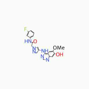 COc1cc2c(Nc3cnn(CC(=O)Nc4cccc(F)c4)c3)ncnc2cc1O